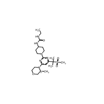 CCNC(=O)NC1CCN(c2nc(N3CCOC[C@@H]3C)cc(C(C)(C)S(C)(=O)=O)n2)CC1